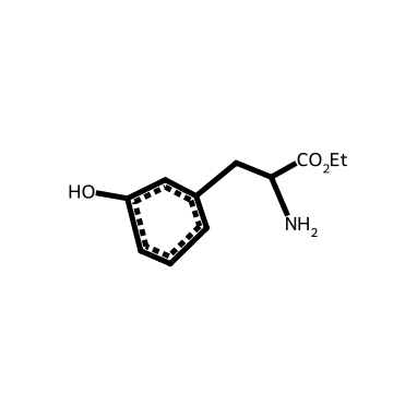 CCOC(=O)C(N)Cc1cccc(O)c1